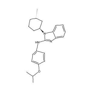 CC(C)Oc1ccc(Nc2nc3ccccc3n2[C@H]2CCC[C@H](C)C2)cc1